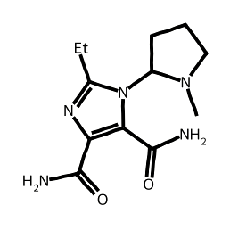 CCc1nc(C(N)=O)c(C(N)=O)n1C1CCCN1C